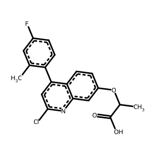 Cc1cc(F)ccc1-c1cc(Cl)nc2cc(OC(C)C(=O)O)ccc12